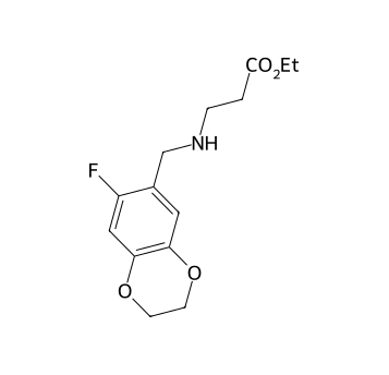 CCOC(=O)CCNCc1cc2c(cc1F)OCCO2